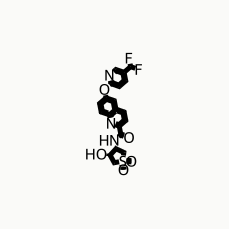 O=C(N[C@@H]1CS(=O)(=O)C[C@H]1O)c1ccc2cc(Oc3ccc(C(F)F)cn3)ccc2n1